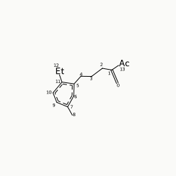 C=C(CCCc1cc(C)ccc1CC)C(C)=O